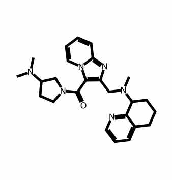 CN(C)C1CCN(C(=O)c2c(CN(C)C3CCCc4cccnc43)nc3ccccn23)C1